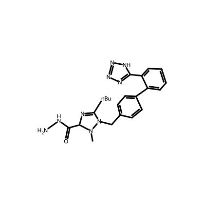 CCCCC1=NC(C(=O)NN)N(C)N1Cc1ccc(-c2ccccc2-c2nnn[nH]2)cc1